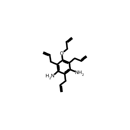 C=CCOc1c(CC=C)c(N)c(CC=C)c(N)c1CC=C